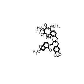 CCN1C(=O)C(C)(C)C(=O)N(C)c2cc(CN(CCn3ccc4oc(C)cc4c3=O)Cc3ccc4c(c3)OCO4)ccc21